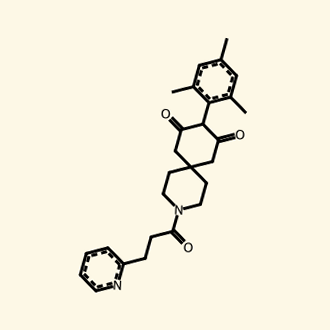 Cc1cc(C)c(C2C(=O)CC3(CCN(C(=O)CCc4ccccn4)CC3)CC2=O)c(C)c1